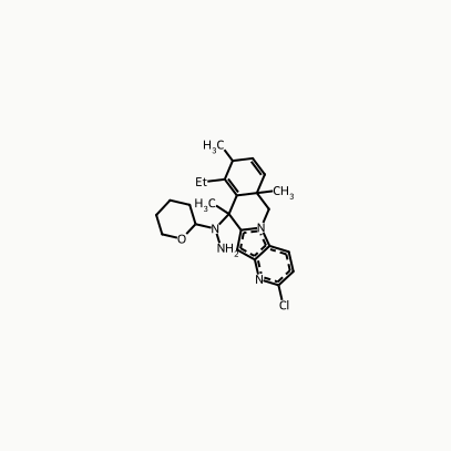 CCC1=C2C(C)(C=CC1C)Cn1c(cc3nc(Cl)ccc31)C2(C)N(N)C1CCCCO1